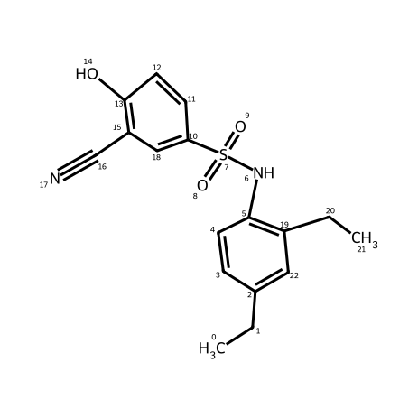 CCc1ccc(NS(=O)(=O)c2ccc(O)c(C#N)c2)c(CC)c1